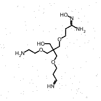 N=CCCOCC(CO)(COCCN)COCC/C(N)=N\O